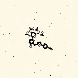 CC(=O)OC[C@H]1O[C@@H](c2ccc(Cl)c(Cc3ccc(-c4ccc(C#N)nc4)s3)c2)[C@H](OC(C)=O)[C@@H](OC(C)=O)[C@@H]1OC(C)=O